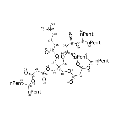 CCCCCC(CCCCC)OC(=O)CC(=O)OCC(COC(=O)CCCN(C)C)(COC(=O)CC(=O)OC(CCCCC)CCCCC)COC(=O)CC(=O)OC(CCCCC)CCCCC